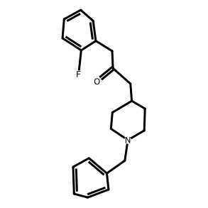 O=C(Cc1ccccc1F)CC1CCN(Cc2ccccc2)CC1